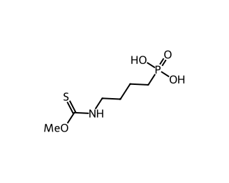 COC(=S)NCCCCP(=O)(O)O